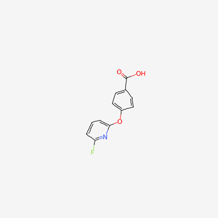 O=C(O)c1ccc(Oc2cccc(F)n2)cc1